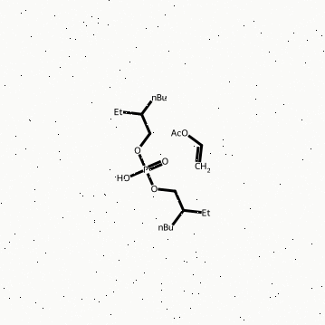 C=COC(C)=O.CCCCC(CC)COP(=O)(O)OCC(CC)CCCC